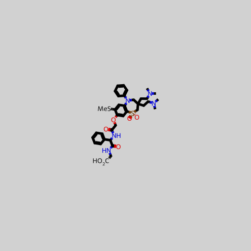 CSc1cc2c(cc1OCC(=O)NC(C(=O)NCC(=O)O)c1ccccc1)S(=O)(=O)CC(CCN(C)C)(CCN(C)C)CN2c1ccccc1